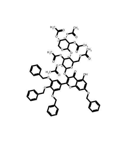 CC(=O)OCC1OC(Oc2c(-c3cc(OCc4ccccc4)c(OCc4ccccc4)c(OCc4ccccc4)c3)oc3cc(OCc4ccccc4)cc(O)c3c2=O)[C@H](OC(C)=O)C(OC(C)=O)[C@@H]1OC1OC[C@H](OC(C)=O)[C@H](OC(C)=O)C1OC(C)=O